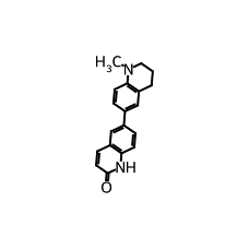 CN1CCCc2cc(-c3ccc4[nH]c(=O)ccc4c3)ccc21